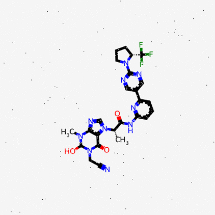 C[C@@H](C(=O)Nc1cccc(-c2cnc(N3CCC[C@@H]3C(F)(F)F)nc2)n1)n1cnc2c1C(=O)N(CC#N)C(O)N2C